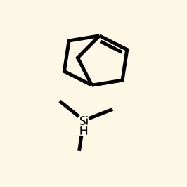 C1=C2CCC(C1)C2.C[SiH](C)C